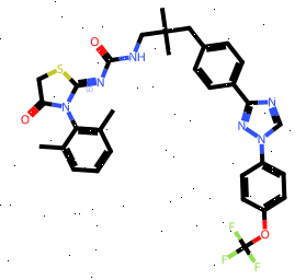 Cc1cccc(C)c1N1C(=O)CS/C1=N\C(=O)NCC(C)(C)Cc1ccc(-c2ncn(-c3ccc(OC(F)(F)F)cc3)n2)cc1